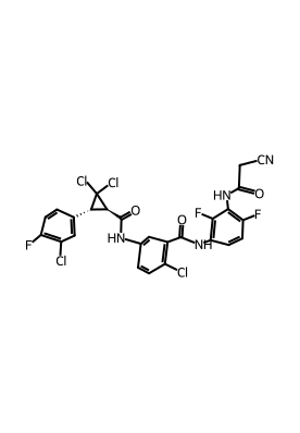 N#CCC(=O)Nc1c(F)ccc(NC(=O)c2cc(NC(=O)[C@H]3[C@H](c4ccc(F)c(Cl)c4)C3(Cl)Cl)ccc2Cl)c1F